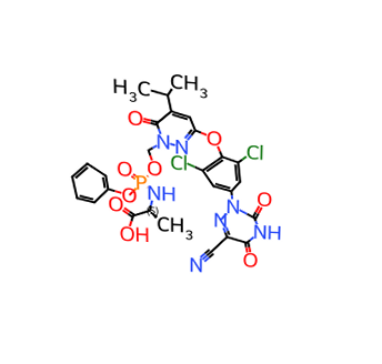 CC(C)c1cc(Oc2c(Cl)cc(-n3nc(C#N)c(=O)[nH]c3=O)cc2Cl)nn(COP(=O)(N[C@@H](C)C(=O)O)Oc2ccccc2)c1=O